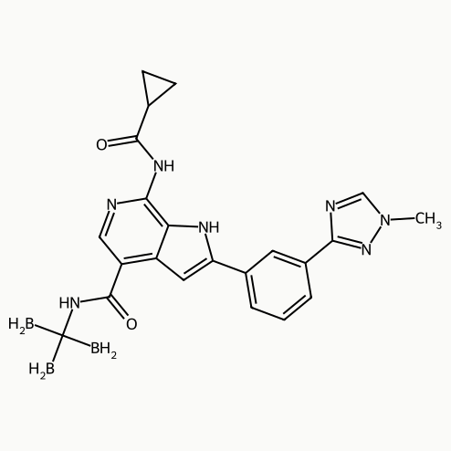 BC(B)(B)NC(=O)c1cnc(NC(=O)C2CC2)c2[nH]c(-c3cccc(-c4ncn(C)n4)c3)cc12